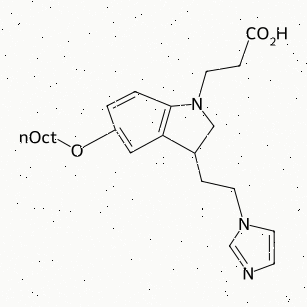 CCCCCCCCOc1ccc2c(c1)C(CCn1ccnc1)CN2CCC(=O)O